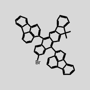 CC1(C)c2ccccc2-c2cc3c(-c4ccc5c6c(cccc46)-c4ccccc4-5)c4ccc(Br)cc4c(-c4ccc5c6c(cccc46)-c4ccccc4-5)c3cc21